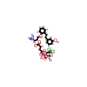 COc1cccc(CCc2ccccc2OCC(CN(C)C)OC(=O)CCC(=O)OC(C(Cl)(Cl)Cl)P(=O)(OC)OC)c1